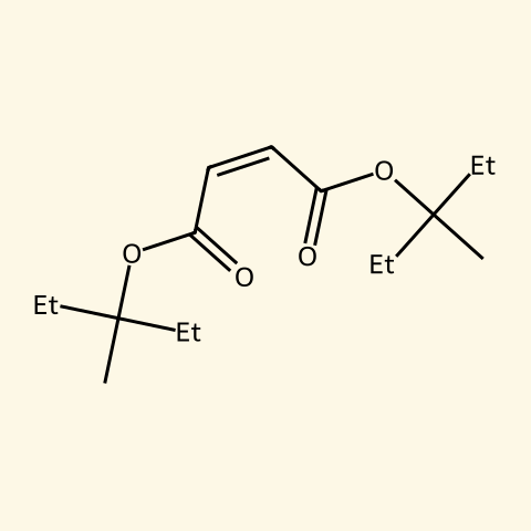 CCC(C)(CC)OC(=O)/C=C\C(=O)OC(C)(CC)CC